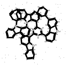 C1#CCC(n2c3ccccc3c3cccc(-n4c5c(c6cccc(-c7nc(-c8cccc9c8oc8ccccc89)nc(-c8cccc9oc%10ccc(-c%11ccccc%11)cc%10c89)n7)c64)C=CCC5)c32)=CC=C1